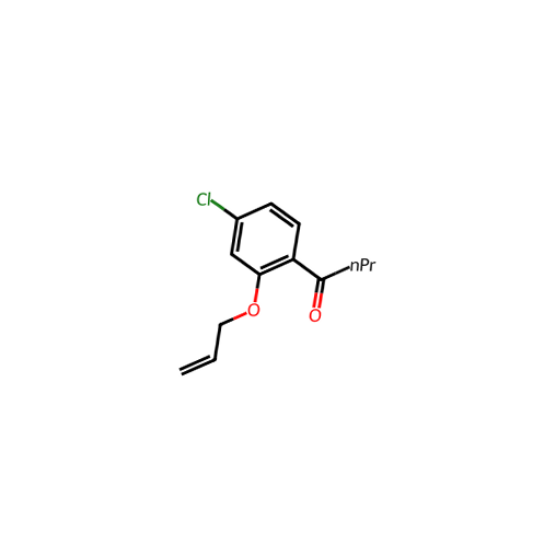 C=CCOc1cc(Cl)ccc1C(=O)CCC